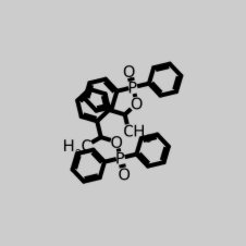 CC(OP(=O)(c1ccccc1)c1ccccc1)c1ccccc1C(C)OP(=O)(c1ccccc1)c1ccccc1